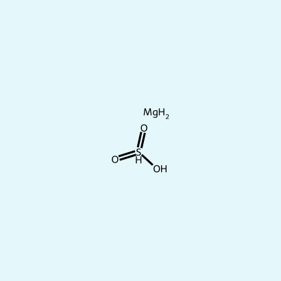 O=[SH](=O)O.[MgH2]